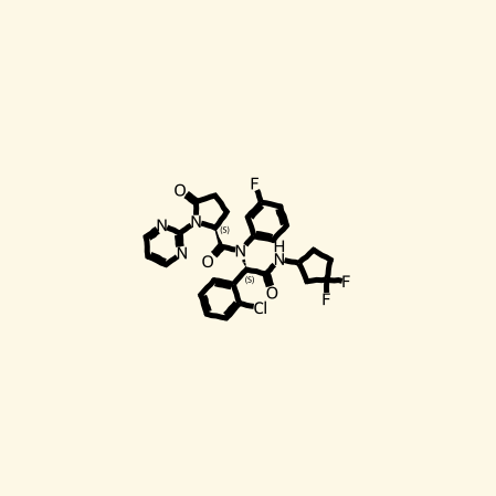 O=C(NC1CCC(F)(F)C1)[C@H](c1ccccc1Cl)N(C(=O)[C@@H]1CCC(=O)N1c1ncccn1)c1cccc(F)c1